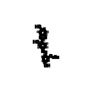 CCCCOc1cc(O)ccc1/N=N/c1ccc(-c2nc3ccc(O)cc3s2)c(O)c1